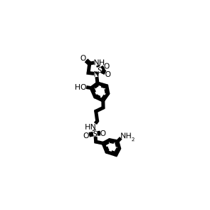 Nc1cccc(CS(=O)(=O)NCCCc2ccc(N3CC(=O)NS3(=O)=O)c(O)c2)c1